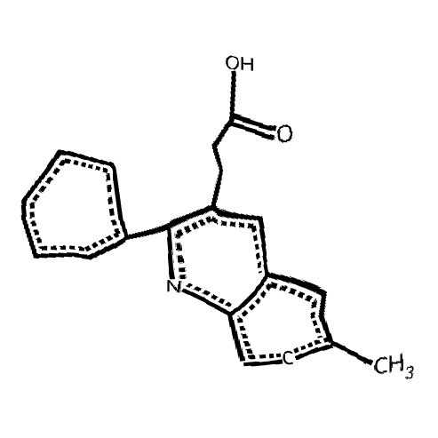 Cc1ccc2nc(-c3ccccc3)c(CC(=O)O)cc2c1